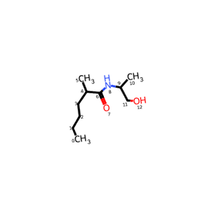 CCCCC(C)C(=O)NC(C)CO